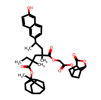 CCC(C)(CC(C)(CC(C)c1ccc2cc(O)ccc2c1)C(=O)OCC(=O)OC1C2CC3C(=O)OC1C3C2)C(=O)OC1(C)C2CC3CC(C2)CC1C3